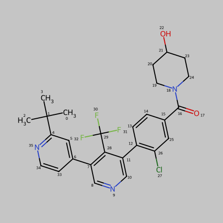 CC(C)(C)c1cc(-c2cncc(-c3ccc(C(=O)N4CCC(O)CC4)cc3Cl)c2C(F)(F)F)ccn1